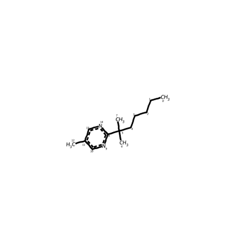 CCCCCC(C)(C)c1ncc(C)cn1